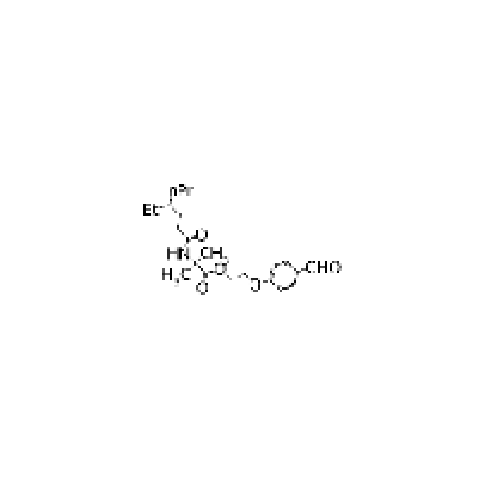 CCCC(CC)CCC(=O)NC(C)(C)C(=O)OCCOc1ccc(C=O)cc1